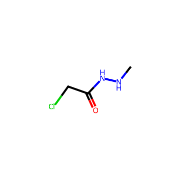 CNNC(=O)CCl